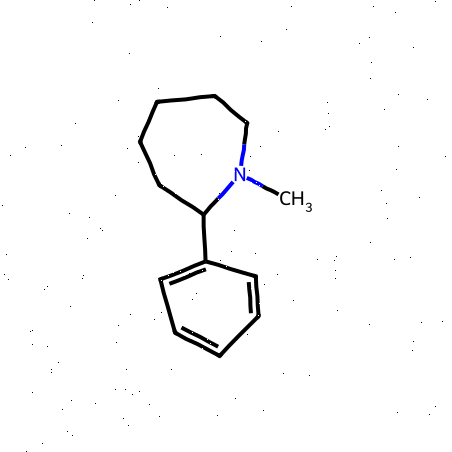 CN1CCCCCC1c1ccccc1